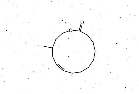 CC1CC=CCCCCCCCC(=O)OCC1